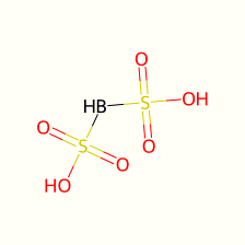 O=S(=O)(O)BS(=O)(=O)O